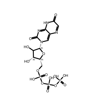 O=c1cnc2cn([C@@H]3O[C@H](COP(=O)(O)OP(=O)(O)OP(=O)(O)O)[C@H](O)C3O)c(=O)nc2[nH]1